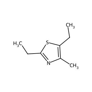 CCc1nc(C)c(CC)s1